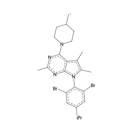 [CH]C1CCN(c2nc(C)nc3c2c(C)c(C)n3-c2c(Br)cc(C(C)C)cc2Br)CC1